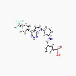 O=C(O)c1cccc(CNc2cccc(-n3ccc4c(-c5ccc(C(F)(F)F)cc5)ncnc43)c2)c1